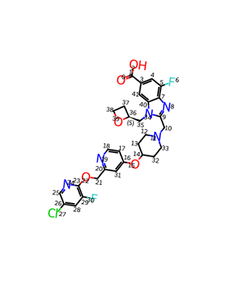 O=C(O)c1cc(F)c2nc(CN3CCC(Oc4ccnc(COc5ncc(Cl)cc5F)c4)CC3)n(C[C@@H]3CCO3)c2c1